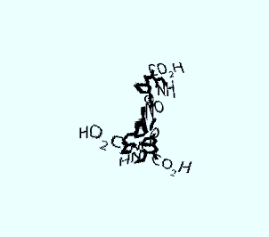 O=C(O)C(Cc1cccc(COC(=O)N(CCOc2cccc(CC(C(=O)O)C3CCNC3)c2)Cc2cccc(CC(C(=O)O)C3CCNC3)c2)c1)C1CCNC1